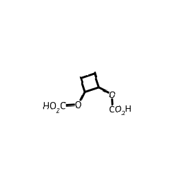 O=C(O)OC1CCC1OC(=O)O